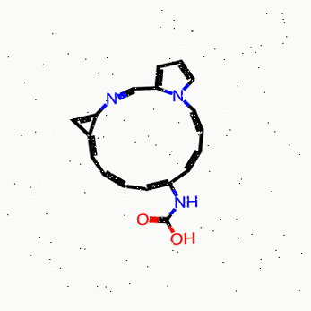 O=C(O)NC1=CC=CC=C2C=C2N=Cc2cccn2C=CC=C1